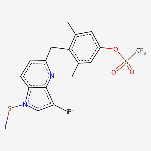 Cc1cc(OS(=O)(=O)C(F)(F)F)cc(C)c1Cc1ccc2c(n1)c(C(C)C)cn2SI